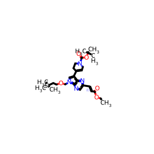 CCOC(=O)/C=C/c1cnc2c(n1)c(C1=CCN(C(=O)OC(C)(C)C)CC1)cn2COCC[Si](C)(C)C